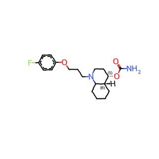 NC(=O)O[C@H]1CCN(CCCOc2ccc(F)cc2)C2CCCC[C@H]21